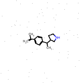 C=C(C)c1ccc(C(C)C2CCNC2)cc1